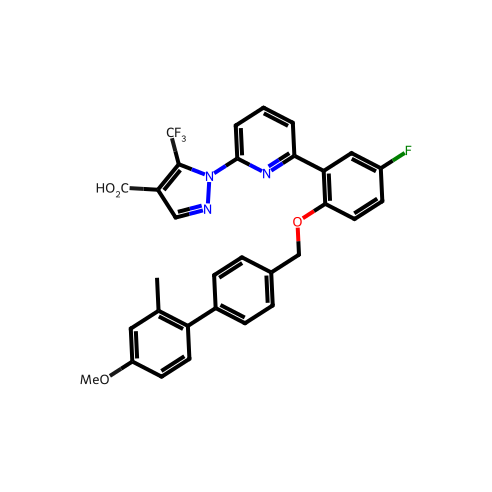 COc1ccc(-c2ccc(COc3ccc(F)cc3-c3cccc(-n4ncc(C(=O)O)c4C(F)(F)F)n3)cc2)c(C)c1